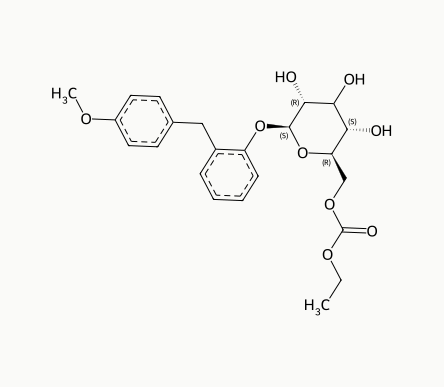 CCOC(=O)OC[C@H]1O[C@@H](Oc2ccccc2Cc2ccc(OC)cc2)[C@H](O)C(O)[C@@H]1O